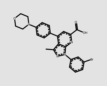 Cc1nn(-c2cccc(Br)c2)c2nc(C(=O)O)cc(-c3ccc(N4CCOCC4)cc3)c12